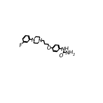 NC(=O)Nc1ccc(OCCCN2CCN(c3cccc(F)c3)CC2)cc1